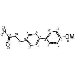 COc1ccc(-c2ccc([CH]CC(N)=O)cc2)cc1